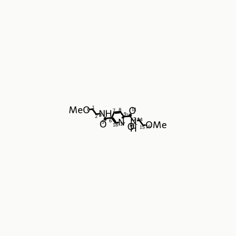 COCCNC(=O)c1ccc(C(=O)[NH+]([O-])CCOC)nc1